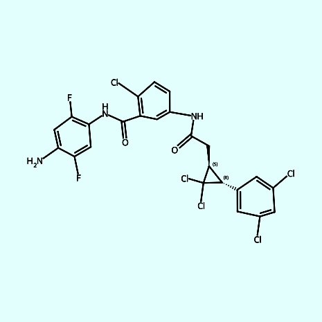 Nc1cc(F)c(NC(=O)c2cc(NC(=O)C[C@H]3[C@H](c4cc(Cl)cc(Cl)c4)C3(Cl)Cl)ccc2Cl)cc1F